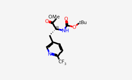 COC(=O)[C@@H](Cc1ccc(C(F)(F)F)nc1)NC(=O)OC(C)(C)C